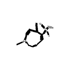 C=C1/C=C\N(C)C/C=C\C=C/1S(=O)(=O)NC